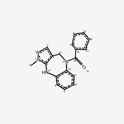 Cn1ncc2c1Nc1ccccc1N(C(=O)c1ccccc1)C2